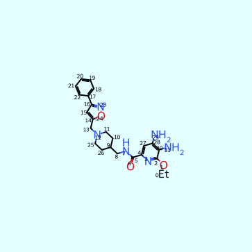 CCOc1nc(C(=O)NCC2CCN(Cc3cc(-c4ccccc4)no3)CC2)cc(N)c1N